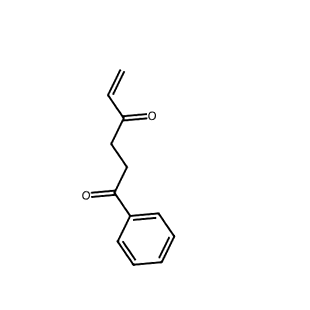 C=CC(=O)CCC(=O)c1ccccc1